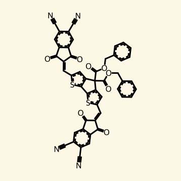 N#Cc1cc2c(cc1C#N)C(=O)C(=Cc1cc3c(s1)-c1sc(C=C4C(=O)c5cc(C#N)c(C#N)cc5C4=O)cc1C3(C(=O)OCc1ccccc1)C(=O)OCc1ccccc1)C2=O